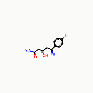 N=C(C[C@@H](O)CC(N)=O)c1ccc(Br)cc1